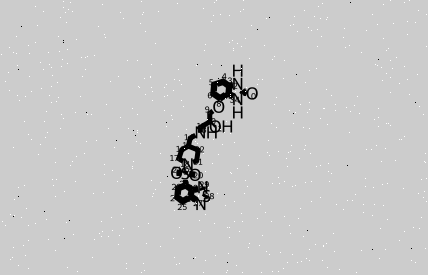 O=c1[nH]c2cccc(OC[C@@H](O)CNCC3CCN(S(=O)(=O)c4cccc5nsnc45)CC3)c2[nH]1